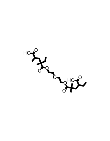 CCC(CC(C)(C)C(=O)OCCOCCOC(=O)C(C)(CC)CC(C)C(=O)O)C(=O)O